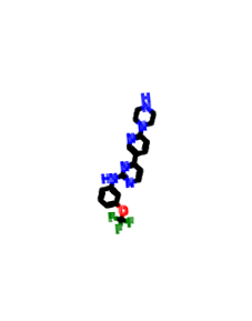 FC(F)(F)Oc1cccc(Nc2nccc(-c3ccc(N4CCNCC4)nc3)n2)c1